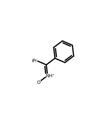 CC(C)C(=[NH+][O-])c1ccccc1